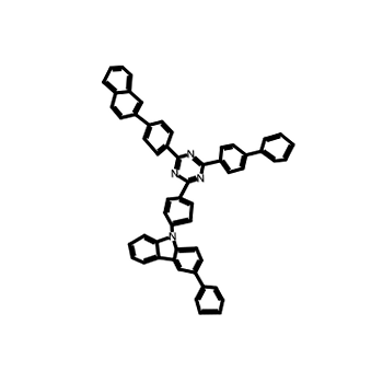 c1ccc(-c2ccc(-c3nc(-c4ccc(-c5ccc6ccccc6c5)cc4)nc(-c4ccc(-n5c6ccccc6c6cc(-c7ccccc7)ccc65)cc4)n3)cc2)cc1